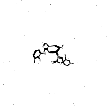 COc1cc2ncnc(Nc3cccc(I)c3F)c2cc1N1CC2(CCN(C)CC2C)OC1=O